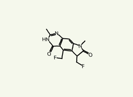 Cc1nc2cc3c(c(CF)c2c(=O)[nH]1)C(CF)C(=O)N3C